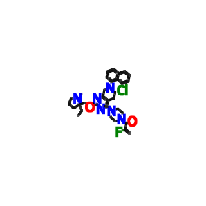 C=C(F)C(=O)N1CCN(c2nc(OCC3(CC)CCCN3C)nc3c2CCN(c2cccc4cccc(Cl)c24)C3)CC1